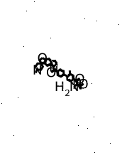 CC(=O)N(N)C(=O)c1ccc(-c2ccc(C(=O)N3CCc4cc5c(cc43)C3(CCN(C)CC3)CO5)cc2)c(C)c1